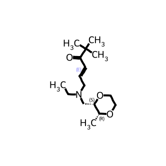 CCN(C/C=C/C(=O)C(C)(C)C)C[C@@H]1OCCO[C@@H]1C